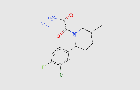 CC1CCC(c2ccc(F)c(Cl)c2)N(C(=O)C(N)=O)C1.N